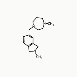 CN1CCCN(Cc2ccc3c(c2)CN(C)C3)CC1